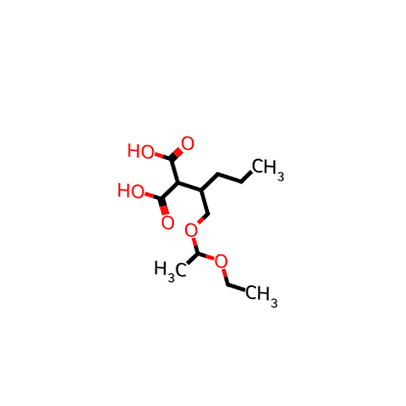 CCCC(COC(C)OCC)C(C(=O)O)C(=O)O